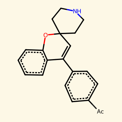 CC(=O)c1ccc(C2=CC3(CCNCC3)Oc3ccccc32)cc1